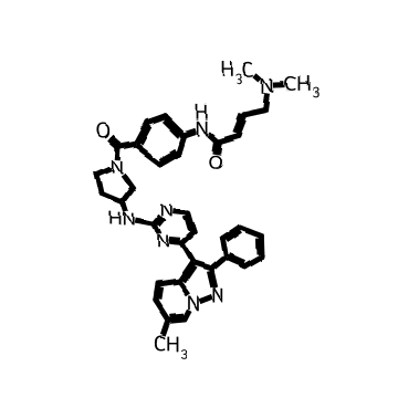 Cc1ccc2c(-c3ccnc(NC4CCN(C(=O)c5ccc(NC(=O)/C=C/CN(C)C)cc5)C4)n3)c(-c3ccccc3)nn2c1